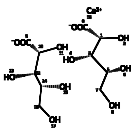 O=C([O-])[C@H](O)[C@@H](O)[C@H](O)CO.O=C([O-])[C@H](O)[C@@H](O)[C@H](O)CO.[Ca+2]